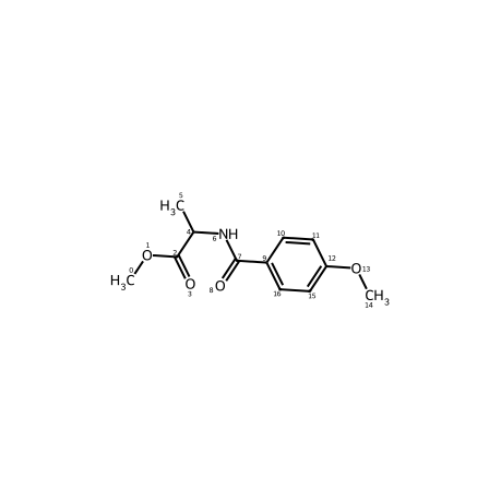 COC(=O)C(C)NC(=O)c1ccc(OC)cc1